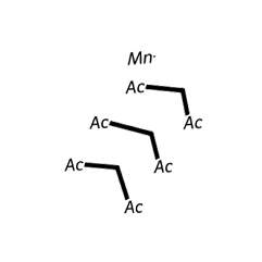 CC(=O)CC(C)=O.CC(=O)CC(C)=O.CC(=O)CC(C)=O.[Mn]